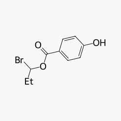 CCC(Br)OC(=O)c1ccc(O)cc1